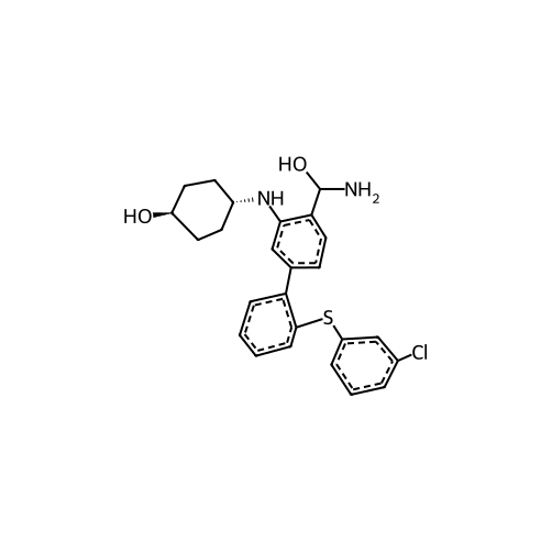 NC(O)c1ccc(-c2ccccc2Sc2cccc(Cl)c2)cc1N[C@H]1CC[C@H](O)CC1